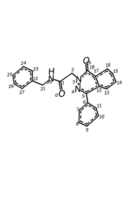 O=C(Cn1nc(-c2ccccc2)c2ccccc2c1=O)NCc1ccccc1